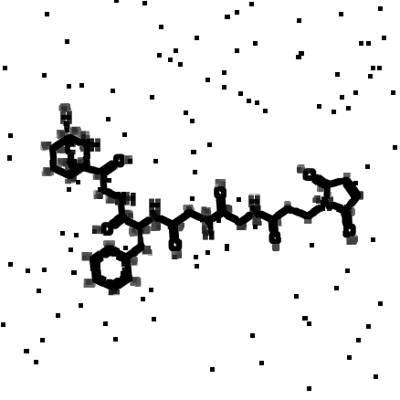 O=C(CCN1C(=O)C=CC1=O)NCC(=O)NCC(=O)N[C@@H](Cc1ccccc1)C(=O)NCC(=O)N1C[C@H]2CCC1CN2